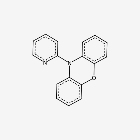 c1ccc(N2c3ccccc3Oc3ccccc32)nc1